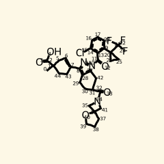 CC1(C(=O)O)CC=C(c2nn(C(=O)c3c(Cl)cccc3C3(C(F)(F)F)CC3)c3c2CCC(C(=O)N2CC4(CCCO4)C2)C3)CC1